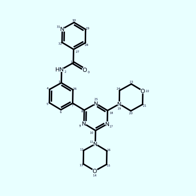 O=C(Nc1cccc(-c2nc(N3CCOCC3)nc(N3CCOCC3)n2)c1)c1cccnc1